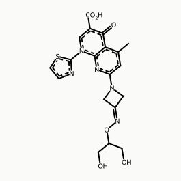 Cc1cc(N2CC(=NOC(CO)CO)C2)nc2c1c(=O)c(C(=O)O)cn2-c1nccs1